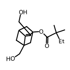 CCC(C)(C)C(=O)OC12CC(CO)=C3C(C1)CC3(CO)C2